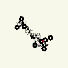 CC(C)(COC(=O)Nc1nc2cc(C3(O)c4ccccc4C(=O)N3Cc3ccccc3)ccc2[nH]1)C(OCc1ccccc1)N(C(=O)O)c1nc2cc(C3(O)c4ccccc4C(=O)N3c3cccc(-c4ccccc4)c3)ccc2[nH]1